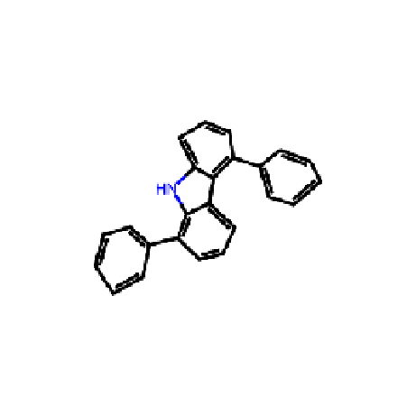 c1ccc(-c2cccc3c2[nH]c2cccc(-c4ccccc4)c23)cc1